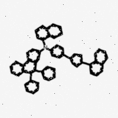 c1ccc(-c2c(-c3ccccc3)c3cc(N(c4ccc(-c5ccc(-c6cccc7ccccc67)cc5)cc4)c4cccc5ccccc45)ccc3c3ccccc23)cc1